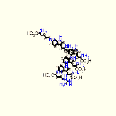 N=C(N)NCCCC(N)C(=O)O.NC(Cc1c[nH]c2ccccc12)C(=O)O.NC(Cc1c[nH]c2ccccc12)C(=O)O.NC(Cc1c[nH]c2ccccc12)C(=O)O.NC(Cc1c[nH]c2ccccc12)C(=O)O.NCCCCC(N)C(=O)O